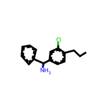 CCCc1ccc(C(N)c2ccccc2)cc1Cl